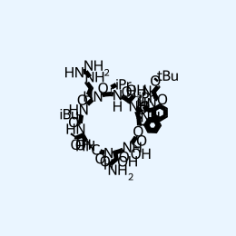 CC[C@H](C)C1NC(=O)[C@@H](CCCNC(=N)N)NC(=O)[C@H](CC(C)C)NC(=O)[C@H]([C@H](O)C(C)C)NC(=O)[C@@H](NC(=O)C2(NC(=O)[C@H](N)COC(C)(C)C)CCCCC2)[C@@H](c2ccccc2)OC(=O)[C@H](CO)NC(=O)[C@H]([C@H](O)C(N)=O)NC(=O)CNC(=O)[C@H]([C@H](C)O)NC1=O